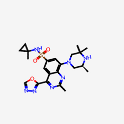 Cc1nc(-c2nnco2)c2cc(S(=O)(=O)NC3(C)CC3)cc(N3C[C@H](C)NC(C)(C)C3)c2n1